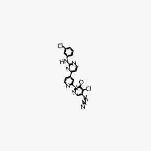 [N-]=[N+]=Nc1cnn(-c2cc(-c3ccnc(Nc4cccc(Cl)c4)n3)ccn2)c(=O)c1Cl